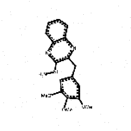 COc1cc(Cc2nc3ccccc3nc2NN)cc(OC)c1OC